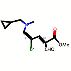 COC(=O)/C(C=O)=C/C(Br)=C\N(C)CC1CC1